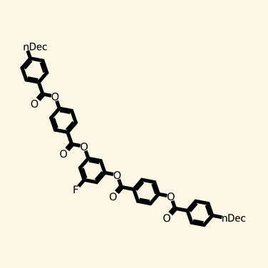 CCCCCCCCCCc1ccc(C(=O)Oc2ccc(C(=O)Oc3cc(F)cc(OC(=O)c4ccc(OC(=O)c5ccc(CCCCCCCCCC)cc5)cc4)c3)cc2)cc1